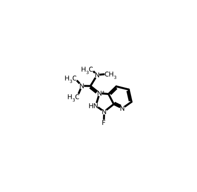 CN(C)C(N(C)C)=[N+]1NN(F)c2ncccc21